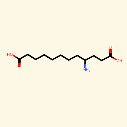 NC(CCCCCCCC(=O)O)CCC(=O)O